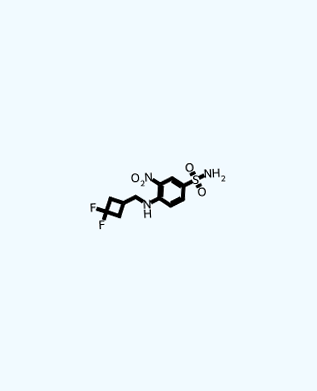 NS(=O)(=O)c1ccc(NCC2CC(F)(F)C2)c([N+](=O)[O-])c1